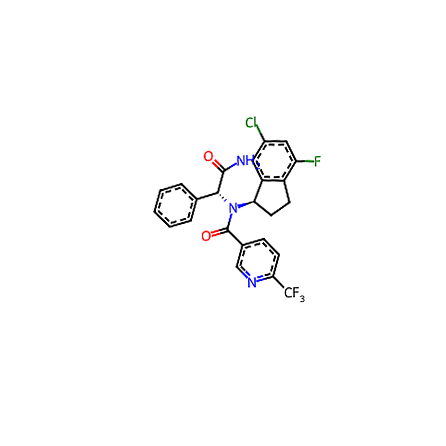 NC(=O)[C@@H](c1ccccc1)N(C(=O)c1ccc(C(F)(F)F)nc1)[C@@H]1CCc2c(F)cc(Cl)cc21